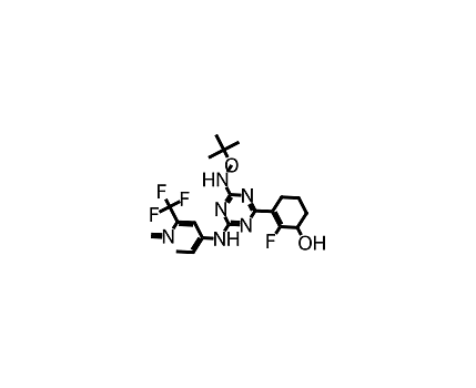 C=N/C(=C\C(=C/C)Nc1nc(NOC(C)(C)C)nc(C2=C(F)C(O)CCC2)n1)C(F)(F)F